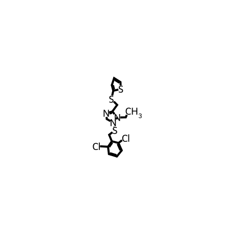 CCN1C(CSc2cccs2)=NCN1SCc1c(Cl)cccc1Cl